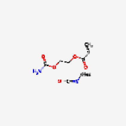 C=CC(=O)OCCOC(N)=O.CCCCCCN=C=O